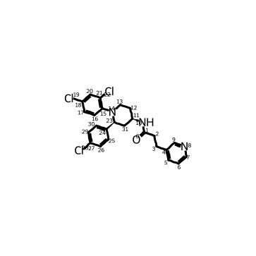 O=C(CCc1cccnc1)N[C@@H]1CCN(c2ccc(Cl)cc2Cl)[C@H](c2ccc(Cl)cc2)C1